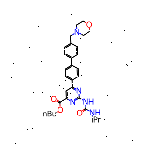 CCCCOC(=O)c1cc(-c2ccc(-c3ccc(CN4CCOCC4)cc3)cc2)nc(NC(=O)NC(C)C)n1